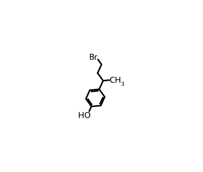 CC(CCBr)c1ccc(O)cc1